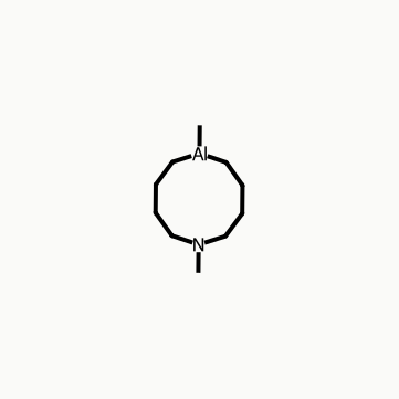 CN1CCC[CH2][Al]([CH3])[CH2]CCC1